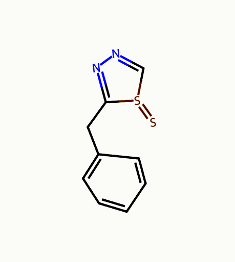 S=S1C=NN=C1Cc1ccccc1